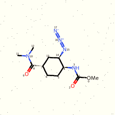 COC(=O)N[C@H]1CC[C@H](C(=O)N(C)C)C[C@H]1N=[N+]=[N-]